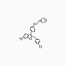 COc1ccc2c(-c3ccc(OCCN4CCOCC4)cc3)c(Cc3ccc(Cl)cc3)oc2c1